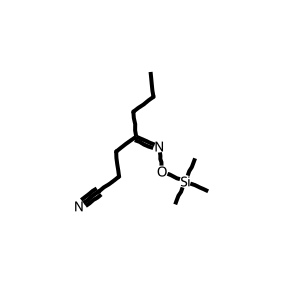 CCCC(CCC#N)=NO[Si](C)(C)C